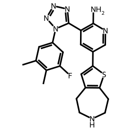 Cc1cc(-n2nnnc2-c2cc(-c3cc4c(s3)CCNCC4)cnc2N)cc(F)c1C